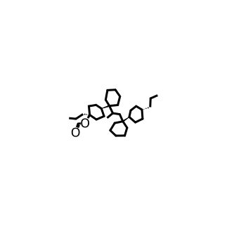 CCC[C@H]1CC[C@H](C2(CC(C)C3([C@H]4CC[C@@](CCC)(OC=O)CC4)CCCCC3)CCCCC2)CC1